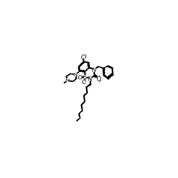 CCCCCCCCCCN1C(=O)N(Cc2ccccc2)c2cc(Cl)cc(N3CCN(C)CC3)c2S1(=O)=O